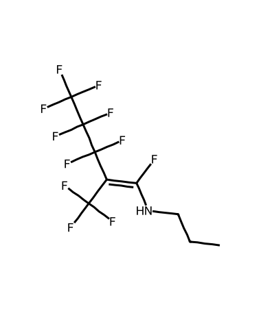 CCCNC(F)=C(C(F)(F)F)C(F)(F)C(F)(F)C(F)(F)F